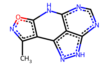 Cc1noc2c1-c1n[nH]c3ncnc(c13)N2